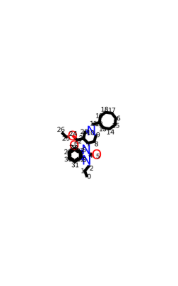 CCCn1c(=O)n(C2CCN(CC3CCCCCCC3)CC2C(=O)OCC)c2ccccc21